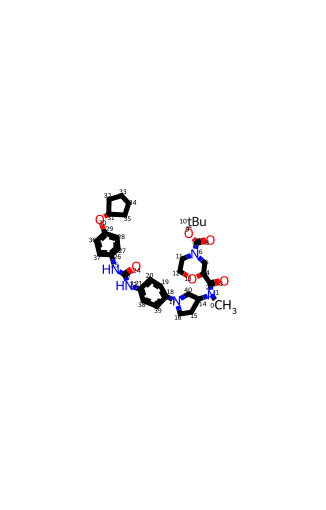 CN(C(=O)C1CN(C(=O)OC(C)(C)C)CCO1)C1CCN(c2ccc(NC(=O)Nc3ccc(OC4CCCC4)cc3)cc2)C1